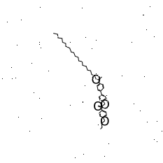 CCCCCCCCCCCCCCCCCCCCOC(C)c1ccc(-c2ccc(OC(=O)c3ccc(OCCC)cc3)cc2)cc1